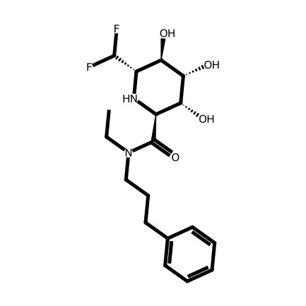 CCN(CCCc1ccccc1)C(=O)[C@H]1N[C@H](C(F)F)[C@@H](O)[C@H](O)[C@@H]1O